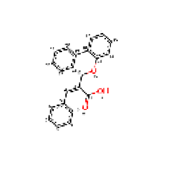 O=C(O)C(=Cc1ccccc1)COc1ccccc1-c1ccccc1